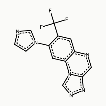 FC(F)(F)c1cc2ncc3nncn3c2cc1-n1ccnc1